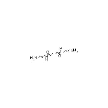 NCCCCNC(=O)CCCCC(=O)NCCCCN